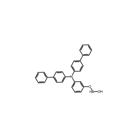 OBOc1cccc(N(c2ccc(-c3ccccc3)cc2)c2ccc(-c3ccccc3)cc2)c1